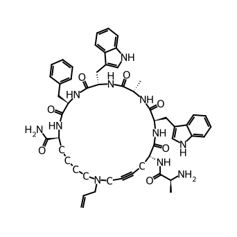 C=CCN1CC#CC[C@@H](NC(=O)[C@H](C)N)C(=O)N[C@H](Cc2c[nH]c3ccccc23)C(=O)N[C@@H](C)C(=O)N[C@@H](Cc2c[nH]c3ccccc23)C(=O)N[C@H](Cc2ccccc2)C(=O)N[C@H](C(N)=O)CCCC1